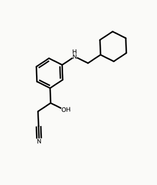 N#CCC(O)c1cccc(NCC2CCCCC2)c1